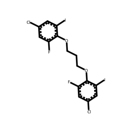 Fc1cc(Cl)cc(I)c1OCCCOc1c(F)cc(Cl)cc1I